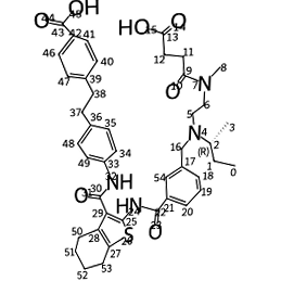 CC[C@@H](C)N(CCN(C)C(=O)CCC(=O)O)Cc1cccc(C(=O)Nc2sc3c(c2C(=O)Nc2ccc(CCc4ccc(C(=O)O)cc4)cc2)CCCC3)c1